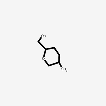 CC1[CH]OC(CO)CC1